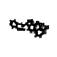 COc1ccccc1CSc1nnc2c(=O)n(-c3cccc(Cl)c3C)ccn12